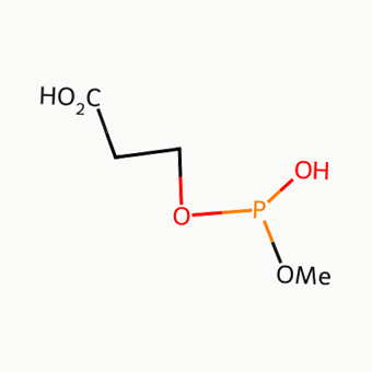 COP(O)OCCC(=O)O